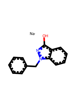 Oc1nn(Cc2ccccc2)c2ccccc12.[Na]